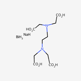 O=C(O)CN(CCN(CC(=O)O)CC(=O)O)CC(=O)O.[BiH3].[NaH]